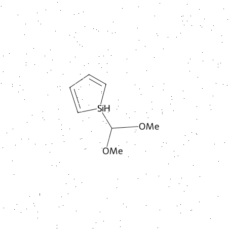 COC(OC)[SiH]1C=CC=C1